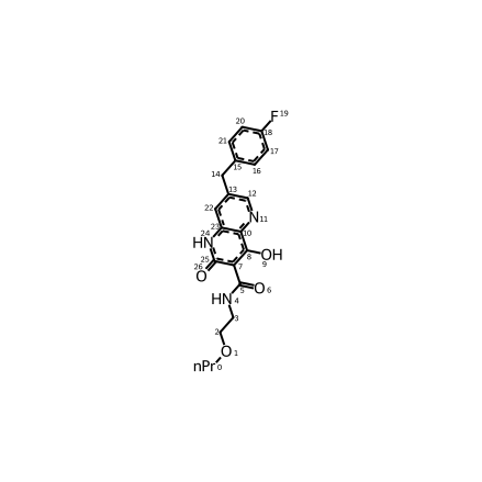 CCCOCCNC(=O)c1c(O)c2ncc(Cc3ccc(F)cc3)cc2[nH]c1=O